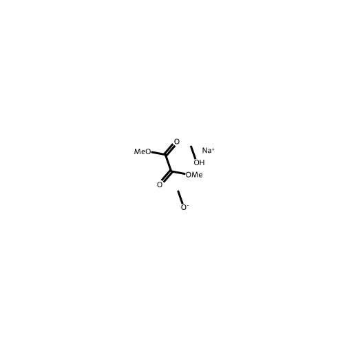 CO.COC(=O)C(=O)OC.C[O-].[Na+]